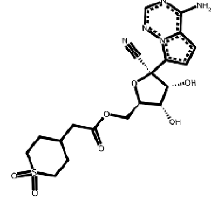 N#C[C@@]1(c2ccc3c(N)ncnn23)O[C@H](COC(=O)CC2CCS(=O)(=O)CC2)[C@@H](O)[C@H]1O